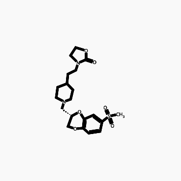 CS(=O)(=O)c1ccc2c(c1)O[C@@H](CN1CCC(CCN3CCOC3=O)CC1)CO2